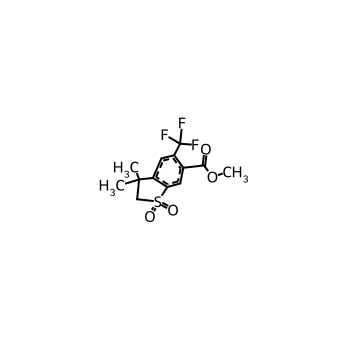 COC(=O)c1cc2c(cc1C(F)(F)F)C(C)(C)CS2(=O)=O